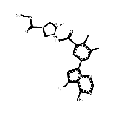 Cc1c(F)cc(-c2cc(C(F)(F)F)c3c(N)ncnn23)cc1C(=O)N[C@@H]1CN(C(=O)OC(C)(C)C)C[C@@H]1F